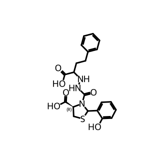 O=C(O)C(CCc1ccccc1)NNC(=O)N1C(c2ccccc2O)SC[C@H]1C(=O)O